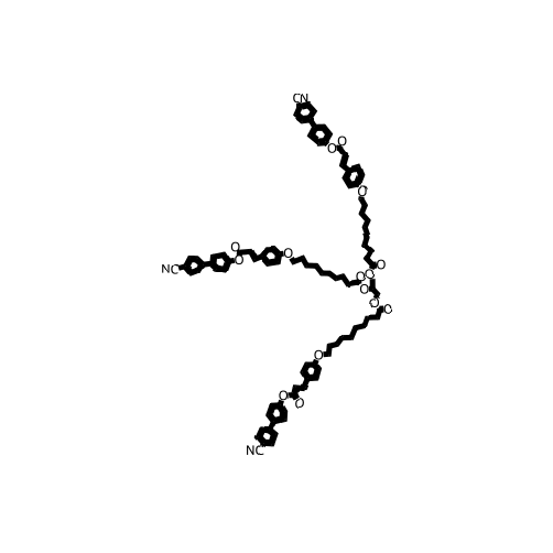 N#Cc1ccc(-c2ccc(OC(=O)C=Cc3ccc(OCCCCCCCCCC(=O)OCC(COC(=O)CCCCCCCCCOc4ccc(C=CC(=O)Oc5ccc(-c6ccc(C#N)cc6)cc5)cc4)OC(=O)CCCCCCCCCOc4ccc(C=CC(=O)Oc5ccc(-c6ccc(C#N)cc6)cc5)cc4)cc3)cc2)cc1